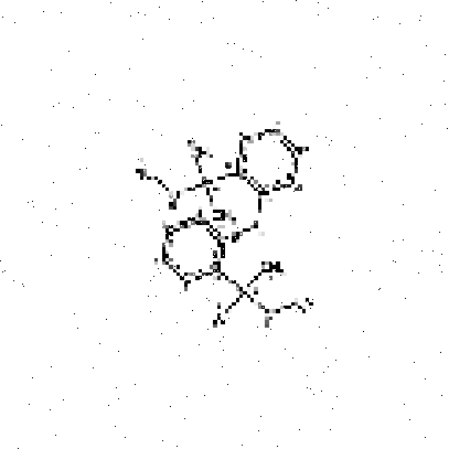 CC(C)(OC#N)c1ccccc1Cc1ccccc1C(C)(C)OC#N